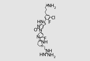 C[C@H](N)CCCc1cc(Cl)c(F)c(-c2cc3cn(-c4cnc([C@@H]5CCC[C@@H](CCNC(=N)N)N5)c(F)c4)c(=O)nc3[nH]2)c1